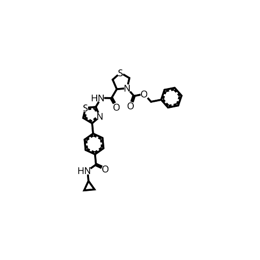 O=C(NC1CC1)c1ccc(-c2csc(NC(=O)C3CSCN3C(=O)OCc3ccccc3)n2)cc1